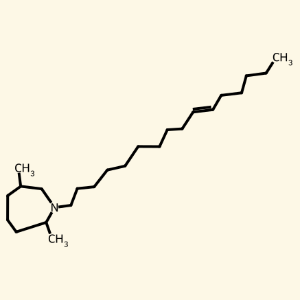 CCCCCC=CCCCCCCCCCN1CC(C)CCCC1C